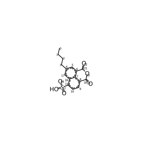 CCCCc1cc2c3c(ccc(S(=O)(=O)O)c3c1)C(=O)OC2=O